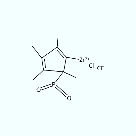 CC1=C(C)C(C)(P(=O)=O)[C]([Zr+2])=C1C.[Cl-].[Cl-]